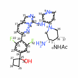 CC(=O)N[C@@H]1[C@H](N)CN(c2ccncc2Nc2ncc3ccc(-c4c(F)cc(C5(O)CCC5)cc4F)nn23)C[C@@H]1C